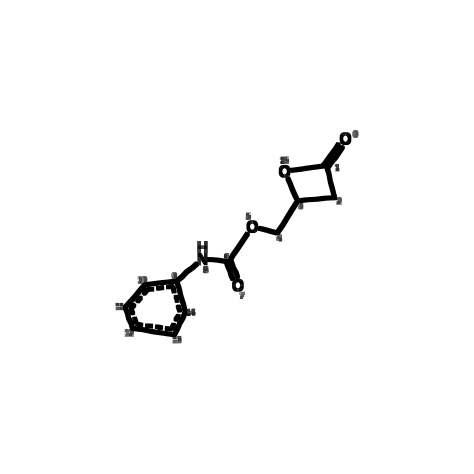 O=C1CC(COC(=O)Nc2ccccc2)O1